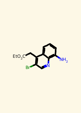 CCOC(=O)Cc1c(Br)cnc2c(N)cccc12